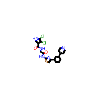 O=C(CNC(=O)c1c[nH]c(Cl)c1Cl)Nc1nc(-c2cccc(-c3ccncc3)c2)cs1